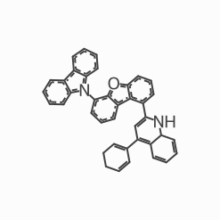 C1=CC2=C(C3=CCCC=C3)C=C(c3cccc4oc5c(-n6c7ccccc7c7ccccc76)cccc5c34)NC2C=C1